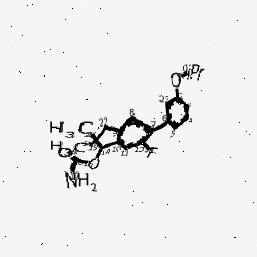 CC(C)Oc1cccc(-c2cc3c(cc2F)C(OC(N)=O)C(C)(C)C3)c1